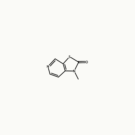 Cn1c(=O)sc2cnccc21